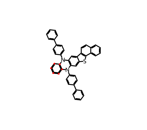 C1=CCCC(N(c2ccc(-c3ccccc3)cc2)c2cc3sc4c5ccccc5ccc4c3cc2N(c2ccccc2)c2ccc(-c3ccccc3)cc2)=C1